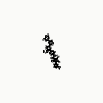 COc1cccc(-n2c(=O)c(C(=O)Nc3ccc(-c4nc(-c5cncc(N6C[C@@H](C)O[C@@H](C)C6)n5)cnc4N)nc3)c(C)n2C)c1